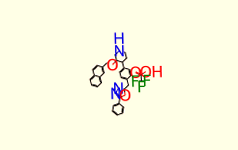 O=C(O)C(F)(F)F.c1ccc(-c2nnc(Cc3ccc(C4CCNCC4OCc4ccc5ccccc5c4)cc3)o2)cc1